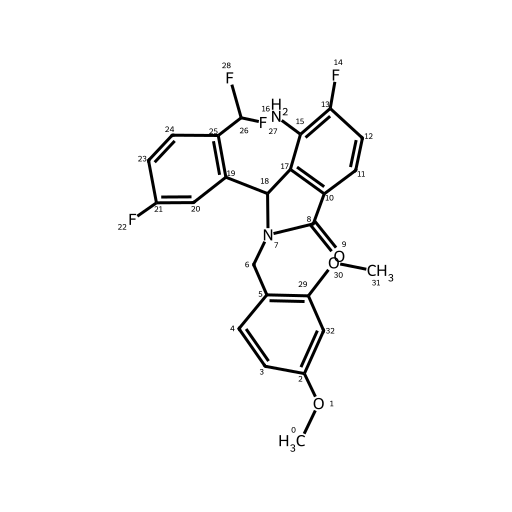 COc1ccc(CN2C(=O)c3ccc(F)c(N)c3C2c2cc(F)ccc2C(F)F)c(OC)c1